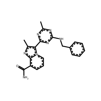 Cc1nc(NCc2ccccc2)nc(-c2c(C)nc3c(C(N)=O)cccn23)n1